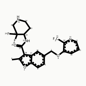 Cc1oc2ccc(COc3cccnc3C(F)(F)F)cc2c1C(=O)NC1CCNCC1(F)F